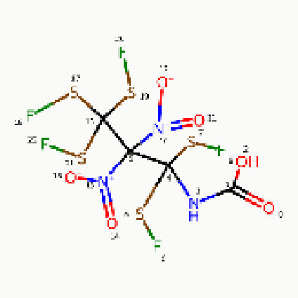 O=C(O)NC(SF)(SF)C([N+](=O)[O-])([N+](=O)[O-])C(SF)(SF)SF